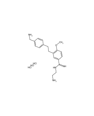 COc1ccc(C(=N)NCCN)cc1CCc1ccc(CN)cc1.Cl.Cl.Cl